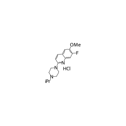 COc1cc2ccc(N3CCN(C(C)C)CC3)nc2cc1F.Cl